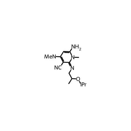 CNc1cc(N)n(C)c(=NCC(C)OC(C)C)c1C#N